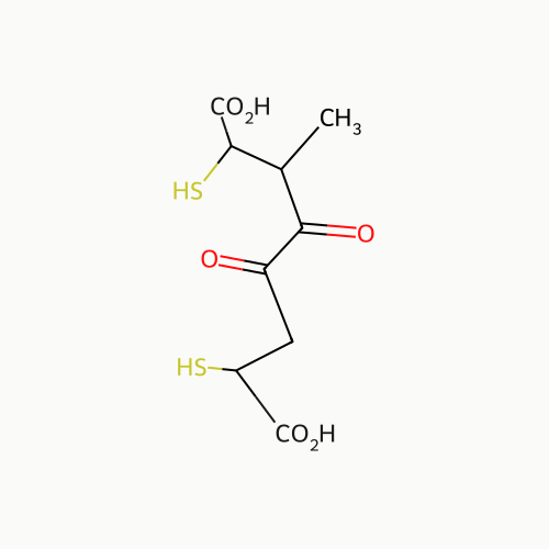 CC(C(=O)C(=O)CC(S)C(=O)O)C(S)C(=O)O